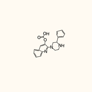 O=C(O)Oc1cc2ccccc2nc1N1CCNC(c2ccccc2)C1